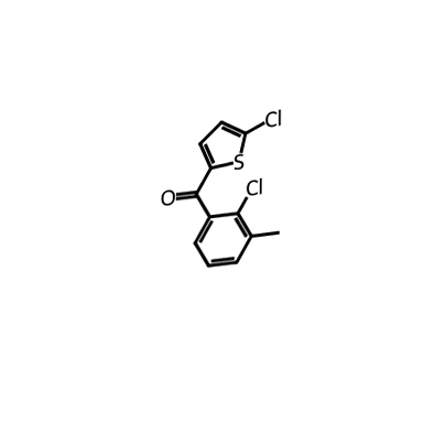 Cc1cccc(C(=O)c2ccc(Cl)s2)c1Cl